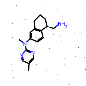 Cc1cnc(N(C)c2ccc3c(c2)CCC[C@H]3CN)nc1